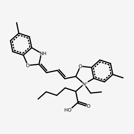 CCCCC(C(=O)O)[N+]1(CC)c2cc(C)ccc2OC1C=CC=C1Nc2cc(C)ccc2O1